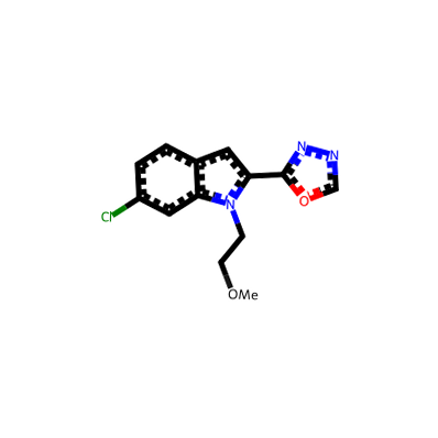 COCCn1c(-c2nnco2)cc2ccc(Cl)cc21